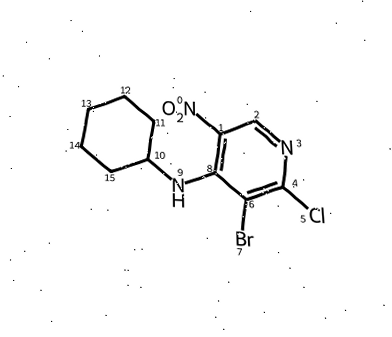 O=[N+]([O-])c1cnc(Cl)c(Br)c1NC1CCCCC1